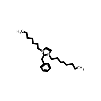 CCCCCCCCN1C=CN(CCCCCCC)C1Cc1ccccc1